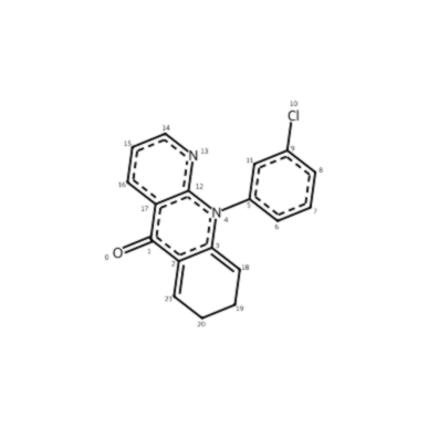 O=c1c2c(n(-c3cccc(Cl)c3)c3ncccc13)=CCCC=2